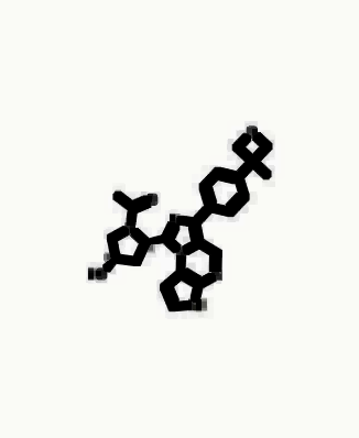 CC(=O)N1C[C@H](O)C[C@@H]1c1nc(-c2ccc(C3(C)COC3)cc2)c2cnc3[nH]ccc3n12